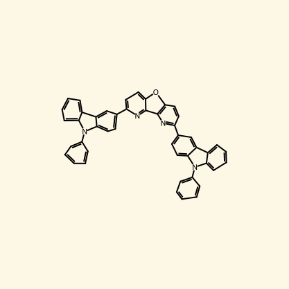 c1ccc(-n2c3ccccc3c3cc(-c4ccc5oc6ccc(-c7ccc8c(c7)c7ccccc7n8-c7ccccc7)nc6c5n4)ccc32)cc1